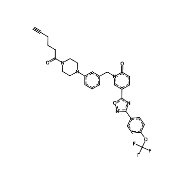 C#CCCCC(=O)N1CCN(c2cccc(Cn3cc(-c4nc(-c5ccc(OC(F)(F)F)cc5)no4)ccc3=O)c2)CC1